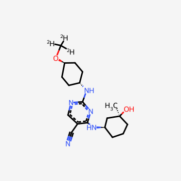 [2H]C([2H])([2H])O[C@H]1CC[C@H](Nc2ncc(C#N)c(N[C@@H]3CCC[C@](C)(O)C3)n2)CC1